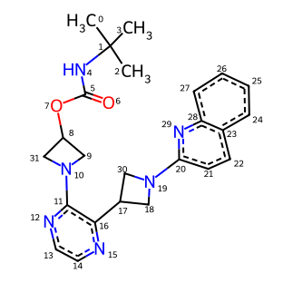 CC(C)(C)NC(=O)OC1CN(c2nccnc2C2CN(c3ccc4ccccc4n3)C2)C1